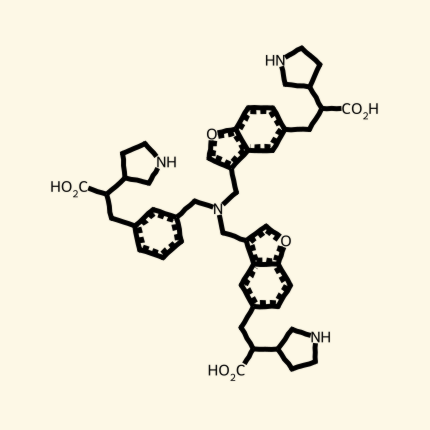 O=C(O)C(Cc1cccc(CN(Cc2coc3ccc(CC(C(=O)O)C4CCNC4)cc23)Cc2coc3ccc(CC(C(=O)O)C4CCNC4)cc23)c1)C1CCNC1